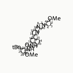 COc1cccc(N2CCN(Cc3ccc(-c4ccc(NC(=O)Nc5cc(C(C)(C)C)ccc5OC)c5ccccc45)cn3)CC2)c1